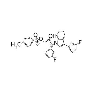 Cc1ccc(S(=O)(=O)OC[C@@H](O)[C@H](c2cccc(F)c2)n2cc(-c3cccc(F)c3)c3ccccc32)cc1